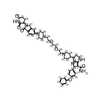 NC(=O)c1c(-c2ccc(Oc3ccccc3)cc2)nn2c1NCC[C@H]2C1CCN(CCOCCOCCN2CCN(c3ccc4c(c3)CN(C3CCC(=O)NC3=O)C4=O)CC2)CC1